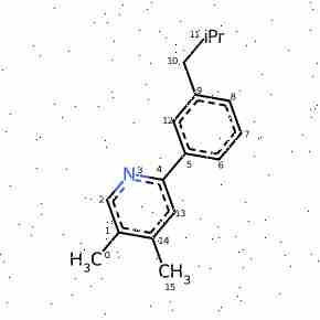 Cc1cnc(-c2cccc(CC(C)C)c2)cc1C